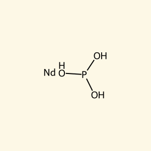 OP(O)O.[Nd]